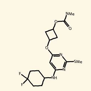 CNC(=O)OC1CC(Oc2cc(NC3CCC(F)(F)CC3)nc(SC)n2)C1